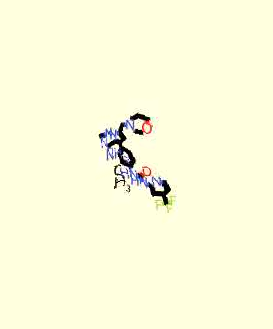 Cc1cc(-c2cc(CN3CCCOCC3)n3ncnc(N)c23)ccc1NC(=O)Nc1cc(C(F)(F)F)ccn1